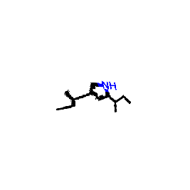 CCC(C)c1[c]c(C(C)CC)[nH]c1